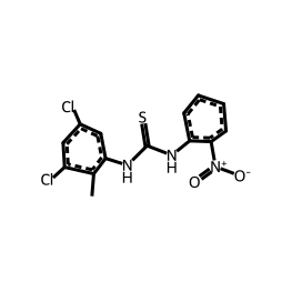 Cc1c(Cl)cc(Cl)cc1NC(=S)Nc1ccccc1[N+](=O)[O-]